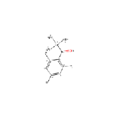 CC[CH2][Ge]([CH2]CC)([CH2]CC)[C](=O)c1c(C)cc(C)cc1C